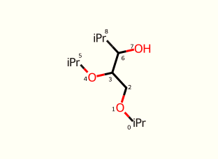 CC(C)OCC(OC(C)C)C(O)C(C)C